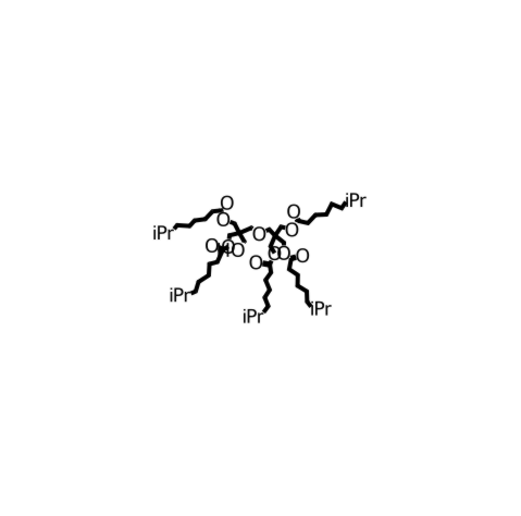 CC(C)CCCCCC(=O)OCC(CO)(COCC(COC(=O)CCCCCC(C)C)(COC(=O)CCCCCC(C)C)COC(=O)CCCCCC(C)C)COC(=O)CCCCCC(C)C